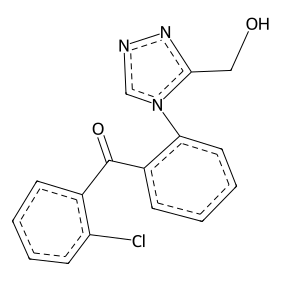 O=C(c1ccccc1Cl)c1ccccc1-n1cnnc1CO